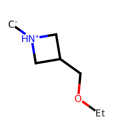 [CH2-][NH+]1CC(COCC)C1